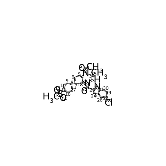 CC(=O)N1c2ccc(-c3ccc(S(C)(=O)=O)cc3)cc2N(C(=O)c2cc3cc(Cl)ccc3[nH]2)C[C@@H]1C